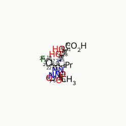 CC(C)c1nc(N(c2ccon2)S(C)(=O)=O)nc(-c2ccc(F)cc2)c1/C=C/[C@@H](O)C[C@@H](O)CC(=O)O